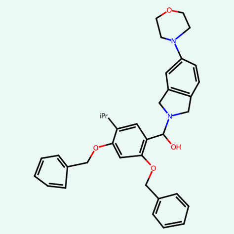 CC(C)c1cc(C(O)N2Cc3ccc(N4CCOCC4)cc3C2)c(OCc2ccccc2)cc1OCc1ccccc1